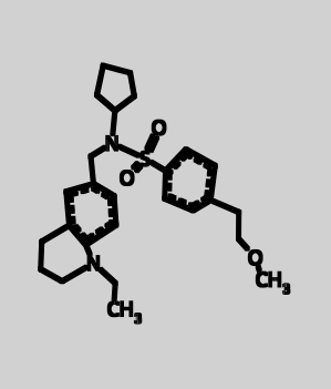 CCN1CCCc2cc(CN(C3CCCC3)S(=O)(=O)c3ccc(CCOC)cc3)ccc21